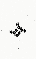 c1cc(Oc2cc(-c3ccc(-c4cc(Oc5cccc(-n6ccnc6)c5)cc(-n5ccnc5)c4)cc3)cc(-n3ccnc3)c2)cc(-n2ccnc2)c1